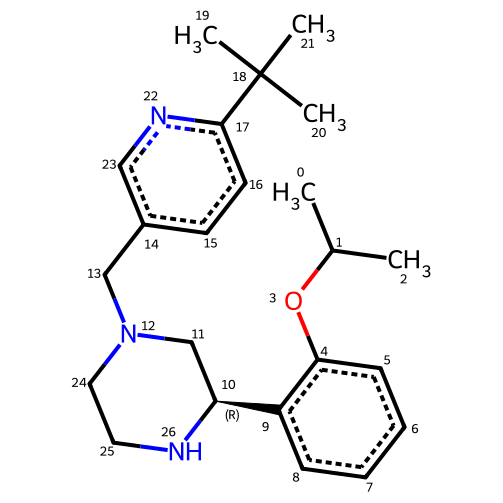 CC(C)Oc1ccccc1[C@@H]1CN(Cc2ccc(C(C)(C)C)nc2)CCN1